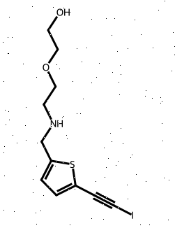 OCCOCCNCc1ccc(C#CI)s1